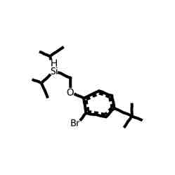 CC(C)[SiH](COc1ccc(C(C)(C)C)cc1Br)C(C)C